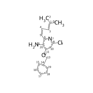 CC(C)=C/C=C\c1nc(Cl)cc(OCc2ccccc2)c1N